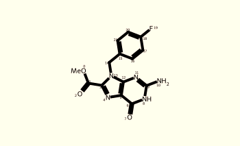 COC(=O)c1nc2c(=O)[nH]c(N)nc2n1Cc1ccc(F)cc1